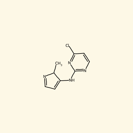 CC1N=CC=C1Nc1nccc(Cl)n1